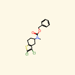 CN(C(=O)OCc1ccccc1)C1CCc2sc(Cl)c(Cl)c2C1